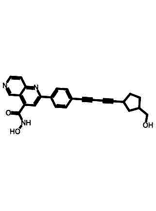 O=C(NO)c1cc(-c2ccc(C#CC#CC3CCC(CO)C3)cc2)nc2ccncc12